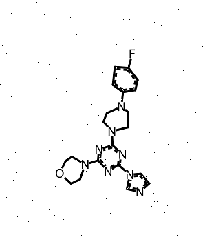 Fc1ccc(N2CCN(c3nc(N4CCOCC4)nc(-n4ccnc4)n3)CC2)cc1